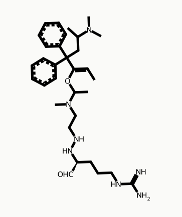 C/C=C(\OC(C)N(C)CCNN[C@H](C=O)CCCNC(=N)N)C(CC(C)N(C)C)(c1ccccc1)c1ccccc1